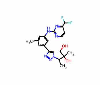 Cc1cc(Nc2nccc(C(F)F)n2)cc(-c2cn(C(C)C(C)(O)CO)nn2)c1